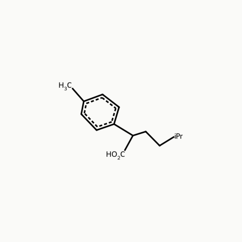 Cc1ccc(C(CCC(C)C)C(=O)O)cc1